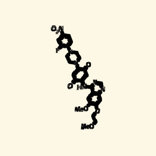 COCCOc1cc2ncnc(NC3=CC(=O)C(N4CCN(c5ccc([N+](=O)[O-])cc5F)CC4)=CC3=O)c2cc1OC